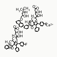 CC(C)NCC(O)COc1cccc2ccccc12.CC(C)c1c(C(=O)Nc2ccccc2)c(-c2ccccc2)c(-c2ccc(F)cc2)n1CC[C@@H](O)C[C@@H](O)CC(=O)[O-].CC(C)c1c(C(=O)Nc2ccccc2)c(-c2ccccc2)c(-c2ccc(F)cc2)n1CC[C@@H](O)C[C@@H](O)CC(=O)[O-].[Ca+2]